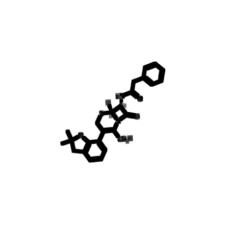 CC1(C)Cc2cccc(C3=C(C(=O)O)N4C(=O)[C@@H](NC(=O)Cc5ccccc5)[C@H]4SC3)c2O1